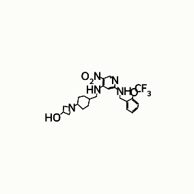 O=[N+]([O-])c1cnc(NCc2ccccc2OC(F)(F)F)cc1NCC1CCC(N2CC(O)C2)CC1